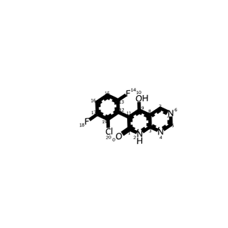 O=c1[nH]c2ncncc2c(O)c1-c1c(F)ccc(F)c1Cl